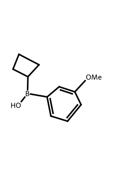 COc1cccc(B(O)C2CCC2)c1